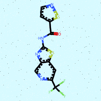 O=C(Nc1nc2cnc(C(F)(F)F)cc2s1)c1ccns1